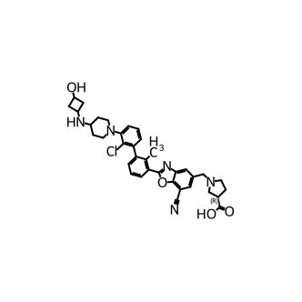 Cc1c(-c2nc3cc(CN4CC[C@@H](C(=O)O)C4)cc(C#N)c3o2)cccc1-c1cccc(N2CCC(NC3CC(O)C3)CC2)c1Cl